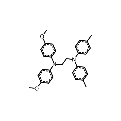 COc1ccc(N(CCN(c2ccc(C)cc2)c2ccc(C)cc2)c2ccc(OC)cc2)cc1